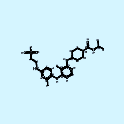 Cc1nc(NCCS(C)(=O)=O)ccc1Oc1ncnc(OC2CCN(C(=O)OC(C)C)CC2)c1C